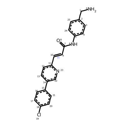 NCc1ccc(NC(=O)/C=C/c2ccc(-c3ccc(Cl)cc3)cn2)cc1